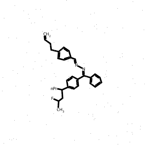 C=CCCc1ccc(C=NN=C(c2ccccc2)c2ccc(C(CCC)CC(C)F)cc2)cc1